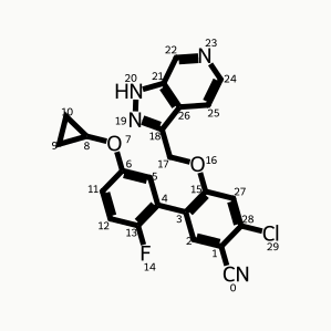 N#Cc1cc(-c2cc(OC3CC3)ccc2F)c(OCc2n[nH]c3cnccc23)cc1Cl